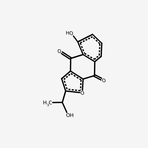 CC(O)c1cc2c(o1)C(=O)c1cccc(O)c1C2=O